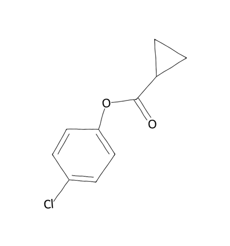 O=C(Oc1ccc(Cl)cc1)C1CC1